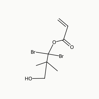 C=CC(=O)OC(Br)(Br)C(C)(C)CO